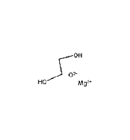 OCCO.[Mg+2].[O-2]